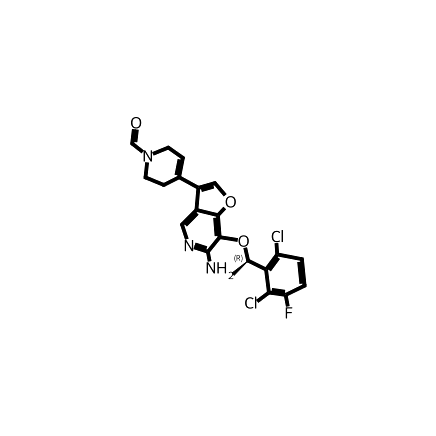 C[C@@H](Oc1c(N)ncc2c(C3=CCN(C=O)CC3)coc12)c1c(Cl)ccc(F)c1Cl